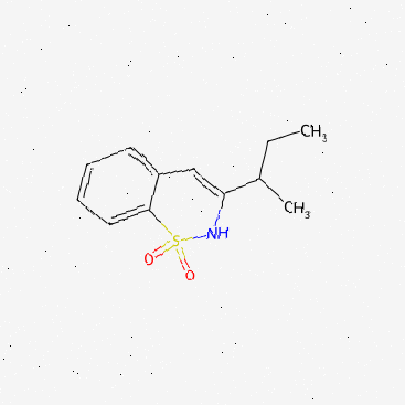 CCC(C)C1=Cc2ccccc2S(=O)(=O)N1